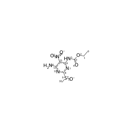 CCOC(=O)Nc1nc([S+](C)[O-])nc(N)c1[N+](=O)[O-]